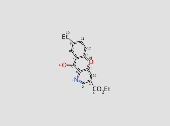 CCOC(=O)c1cnc2c(=O)c3cc(CC)ccc3oc2c1